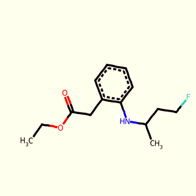 CCOC(=O)Cc1ccccc1NC(C)CCF